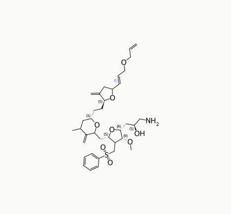 C=CCOC/C=C/C1CC(=C)[C@H](CC[C@H]2CC(C)C(=C)C(C[C@@H]3O[C@H](C[C@H](O)CN)[C@H](OC)C3CS(=O)(=O)c3ccccc3)O2)O1